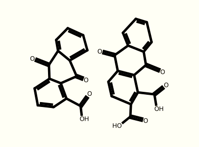 O=C(O)c1ccc2c(c1C(=O)O)C(=O)c1ccccc1C2=O.O=C(O)c1cccc2c1C(=O)c1ccccc1C2=O